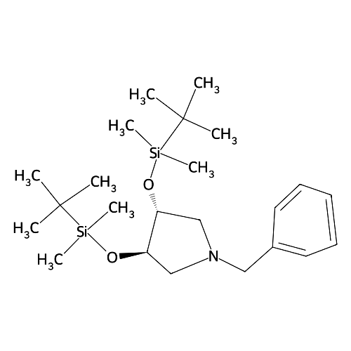 CC(C)(C)[Si](C)(C)O[C@@H]1CN(Cc2ccccc2)C[C@H]1O[Si](C)(C)C(C)(C)C